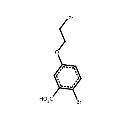 CC(C)CCOc1ccc(Br)c(C(=O)O)c1